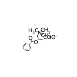 C[N+](C)(C)C[C@@H](CC(=O)[O-])OC(=O)c1ccccc1